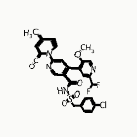 COc1cnc(C(F)F)cc1-c1cc(N2C=CC(C)=CC2=C=O)ncc1C(=O)NS(=O)(=O)Cc1ccc(Cl)cc1